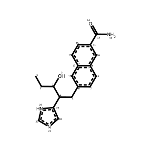 CCC(O)C(Cc1ccc2cc(C(N)=O)ccc2c1)c1cnc[nH]1